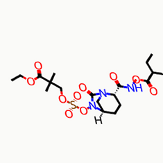 CCOC(=O)C(C)(C)COS(=O)(=O)ON1C(=O)N2C[C@H]1CC[C@H]2C(=O)NOC(=O)C(C)CC